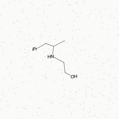 CC(C)CC(C)NCCO